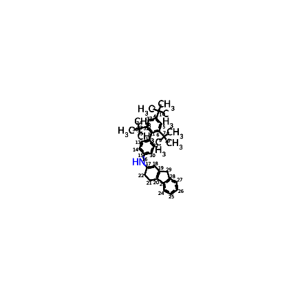 CC(C)(C)c1cc(C(C)(C)C)c(-c2ccc(NC3=CC4=C(CC3)c3ccccc3C4)cc2)c(C(C)(C)C)c1